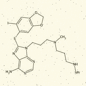 CCCNCCCN(C)CCCn1c(Sc2cc3c(cc2I)OCO3)nc2c(N)ncnc21